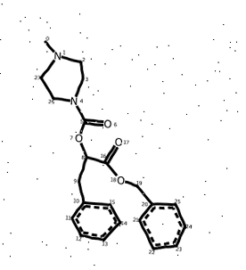 CN1CCN(C(=O)OC(Cc2ccccc2)C(=O)OCc2ccccc2)CC1